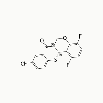 O=C[C@H]1COc2c(F)ccc(F)c2[C@@H]1Sc1ccc(Cl)cc1